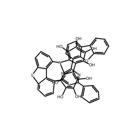 Oc1c(O)c(O)c2c(c1O)c1c(O)c(O)c(O)c(O)c1n2-c1cccc2sc3cccc(-c4nc(-c5ccccc5)nc(-c5cccc6c5oc5ccccc56)n4)c3c12